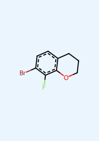 Fc1c(Br)ccc2c1OCCC2